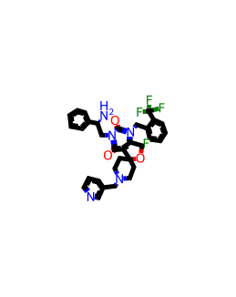 N[C@@H](Cn1c(=O)c2c(n(Cc3c(F)cccc3C(F)(F)F)c1=O)COC21CCN(Cc2cccnc2)CC1)c1ccccc1